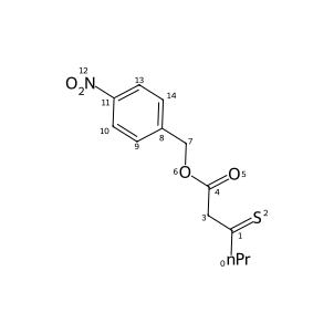 CCCC(=S)CC(=O)OCc1ccc([N+](=O)[O-])cc1